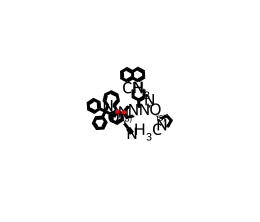 Cc1cccc2cccc(N3CCc4c(nc(OC[C@@H]5CCCN5C)nc4N4C[C@H](CC#N)N(C(=O)C5=CC=CC=CN5C(c5ccccc5)(c5ccccc5)c5ccccc5)C4)C3)c12